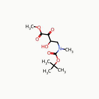 COC(=O)C(=O)C(O)CN(C)C(=O)OC(C)(C)C